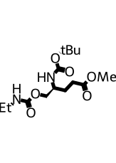 CCNC(=O)OC[C@H](CCC(=O)OC)NC(=O)OC(C)(C)C